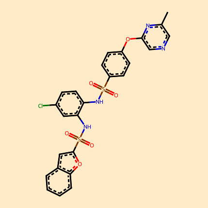 Cc1cncc(Oc2ccc(S(=O)(=O)Nc3ccc(Cl)cc3NS(=O)(=O)c3cc4ccccc4o3)cc2)n1